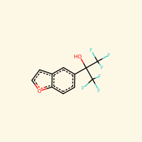 OC(c1ccc2occc2c1)(C(F)(F)F)C(F)(F)F